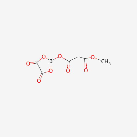 COC(=O)CC(=O)OB1OC(=O)C(=O)O1